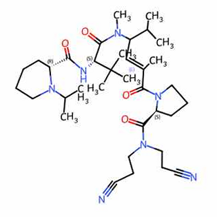 C/C(=C\C(C(C)C)N(C)C(=O)[C@@H](NC(=O)[C@H]1CCCCN1C(C)C)C(C)(C)C)C(=O)N1CCC[C@H]1C(=O)N(CCC#N)CCC#N